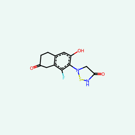 O=C1CCc2cc(O)c(N3CC(=O)NS3)c(F)c2C1